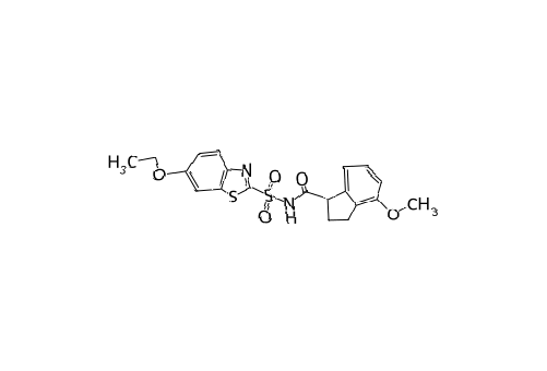 CCOc1ccc2nc(S(=O)(=O)NC(=O)C3CCc4c(OC)cccc43)sc2c1